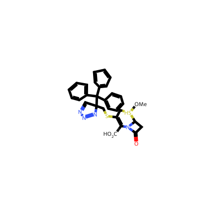 CO[SH]1CC(SCC2(C(c3ccccc3)(c3ccccc3)c3ccccc3)C=NN=N2)=C(C(=O)O)N2C(=O)CC21